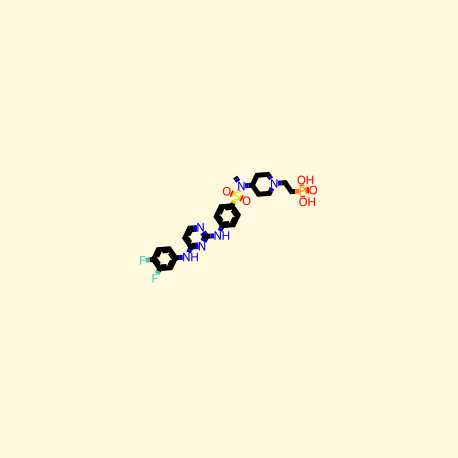 CN(C1CCN(CCP(=O)(O)O)CC1)S(=O)(=O)c1ccc(Nc2nccc(Nc3ccc(F)c(F)c3)n2)cc1